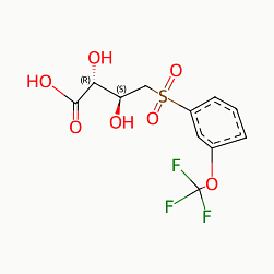 O=C(O)[C@H](O)[C@H](O)CS(=O)(=O)c1cccc(OC(F)(F)F)c1